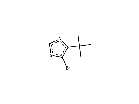 CC(C)(C)c1n[c]sc1Br